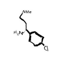 CNCC[C@@H](N)c1ccc(Cl)cc1